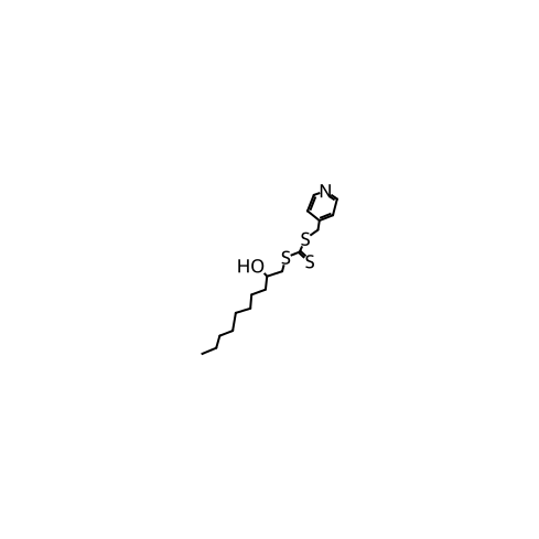 CCCCCCCCC(O)CSC(=S)SCc1ccncc1